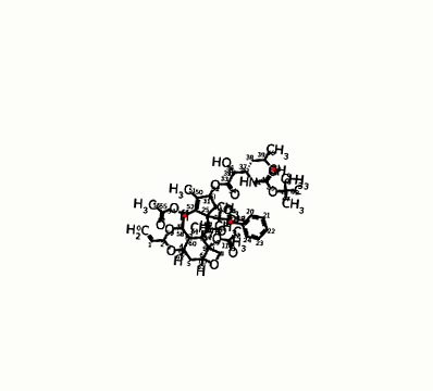 C=CC1O[C@H]2C[C@H]3OC[C@@]3(OC(C)=O)[C@H]3[C@H](OC(=O)c4ccccc4)C4(C(C)(C)O)C[C@H](OC(=O)[C@H](O)[C@H](CC(C)C)NC(=O)OC(C)(C)C)C(C)=C4[C@H](OC(C)=O)[C@H](O1)[C@]23C